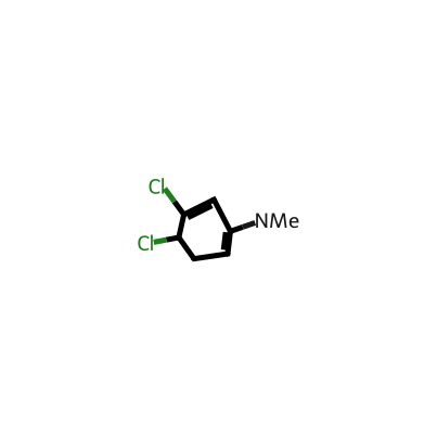 CNC1=CCC(Cl)C(Cl)=C1